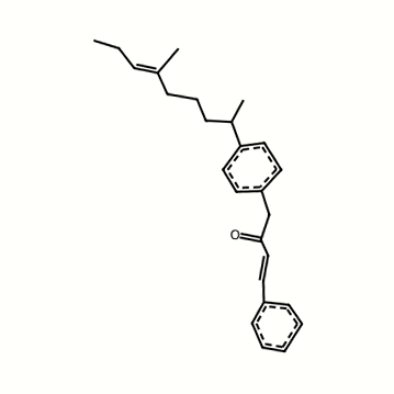 CC/C=C(\C)CCCC(C)c1ccc(CC(=O)/C=C/c2ccccc2)cc1